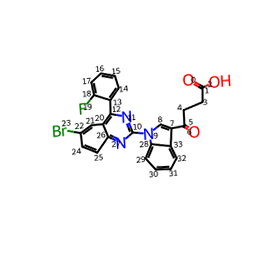 O=C(O)CCC(=O)c1cn(-c2nc(-c3ccccc3F)c3cc(Br)ccc3n2)c2ccccc12